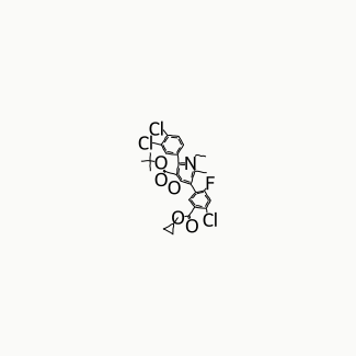 CCn1c(C)c(-c2cc(C(=O)OC3CC3)c(Cl)cc2F)c(=O)c(C(=O)OC(C)(C)C)c1-c1ccc(Cl)c(Cl)c1